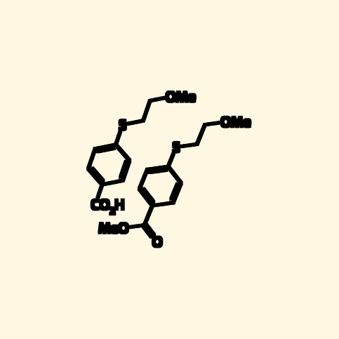 COCCSc1ccc(C(=O)O)cc1.COCCSc1ccc(C(=O)OC)cc1